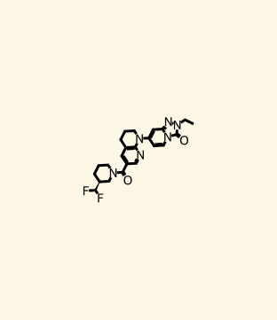 CCn1nc2cc(N3CCCc4cc(C(=O)N5CCC[C@H](C(F)F)C5)cnc43)ccn2c1=O